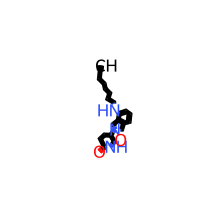 C#CCCCCCCNc1cccc2c1CN(C1CCC(=O)NC1=O)C2